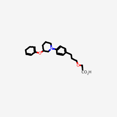 O=C(O)COCCCc1ccc(N2CCCC(OC3=CCCC=C3)C2)cc1